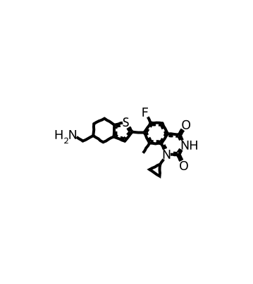 Cc1c(-c2cc3c(s2)CCC(CN)C3)c(F)cc2c(=O)[nH]c(=O)n(C3CC3)c12